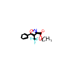 COC(=O)c1noc(-c2ccccc2)c1C(F)(F)F